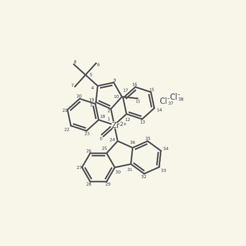 [CH2]=[Zr+2]([C]1=CC(C(C)(C)C)=CC1C)([c]1ccccc1)([c]1ccccc1)[CH]1c2ccccc2-c2ccccc21.[Cl-].[Cl-]